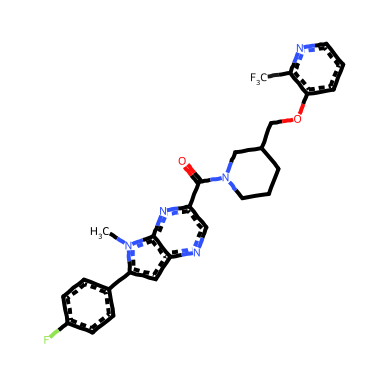 Cn1c(-c2ccc(F)cc2)cc2ncc(C(=O)N3CCCC(COc4cccnc4C(F)(F)F)C3)nc21